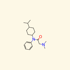 CC(C)C1CCC(N(C(=O)CN(C)C)c2ccccc2)CC1